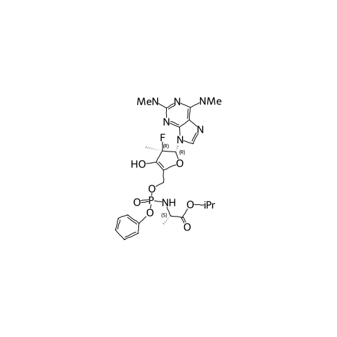 CNc1nc(NC)c2ncn([C@@H]3OC(COP(=O)(N[C@@H](C)C(=O)OC(C)C)Oc4ccccc4)=C(O)[C@@]3(C)F)c2n1